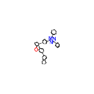 c1ccc(-c2nc(-c3ccccc3)nc(-c3ccc(-c4cccc5oc6cc(-c7ccc8ccccc8c7)ccc6c45)cc3)n2)cc1